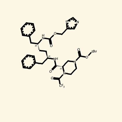 CC(C)(C)OC(=O)N1CCN(C(=O)C(F)(F)F)[C@H](C(=O)N[C@H](CC[C@H](Cc2ccccc2)NC(=O)OCc2cncs2)Cc2ccccc2)C1